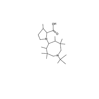 CC1CCN(C2C(C)C(C)(C)CN(C(C)(C)C)CC(C)(C)C2C)C1C(=O)O